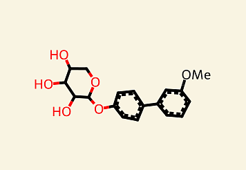 COc1cccc(-c2ccc(OC3OCC(O)C(O)C3O)cc2)c1